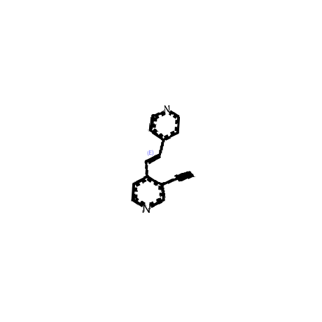 C#Cc1cnccc1/C=C/c1ccncc1